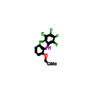 COCOc1ccccc1Pc1c(F)c(F)c(F)c(F)c1F